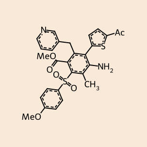 COC(=O)c1c(Cc2cccnc2)c(-c2ccc(C(C)=O)s2)c(N)c(C)c1S(=O)(=O)c1ccc(OC)cc1